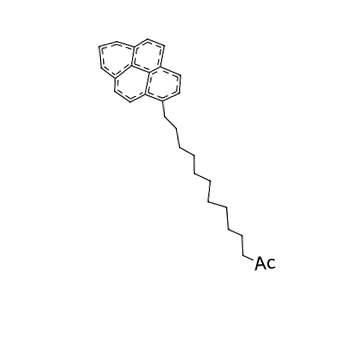 CC(=O)CCCCCCCCCCCc1ccc2ccc3cccc4ccc1c2c34